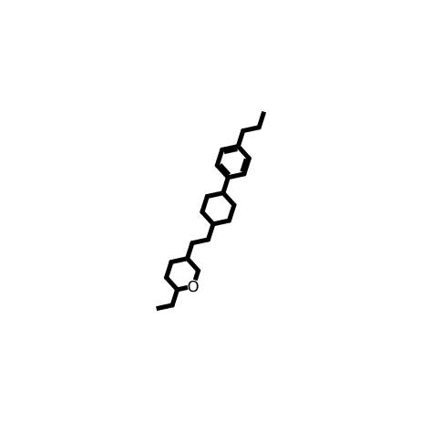 CCCc1ccc(C2CCC(CCC3CCC(CC)OC3)CC2)cc1